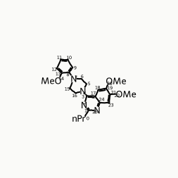 CCCc1nc(N2CCN(c3ccccc3OC)CC2)c2cc(OC)c(OC)cc2n1